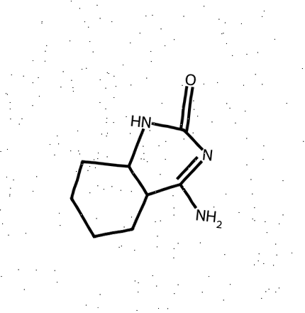 NC1=NC(=O)NC2CCCCC12